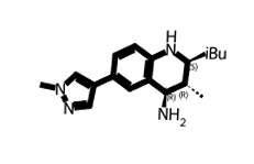 CCC(C)[C@@H]1Nc2ccc(-c3cnn(C)c3)cc2[C@H](N)[C@H]1C